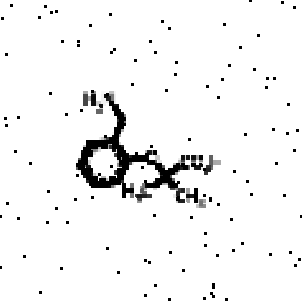 CC(C)(Oc1ccccc1CN)C(=O)O